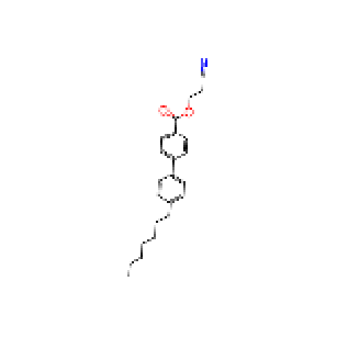 CCCCCCCc1ccc(-c2ccc(C(=O)OCCC#N)cc2)cc1